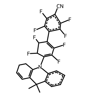 CC1(C)C2=C(CCC=C2)N(C2=C(F)C(F)=C(c3c(F)c(F)c(C#N)c(F)c3F)C(F)C2F)c2ccccc21